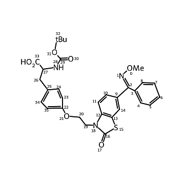 CON=C(c1ccccc1)c1ccc2c(c1)sc(=O)n2CCOc1ccc(CC(NC(=O)OC(C)(C)C)C(=O)O)cc1